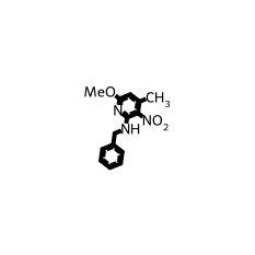 COc1cc(C)c([N+](=O)[O-])c(NCc2ccccc2)n1